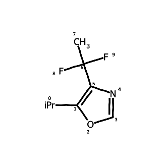 CC(C)c1ocnc1C(C)(F)F